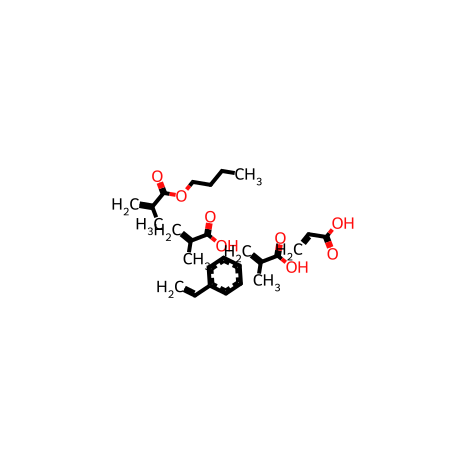 C=C(C)C(=O)O.C=C(C)C(=O)O.C=C(C)C(=O)OCCCC.C=CC(=O)O.C=Cc1ccccc1